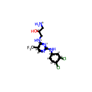 NCC(O)CNc1nc(Nc2ccc(Cl)c(Cl)c2)ncc1C(F)(F)F